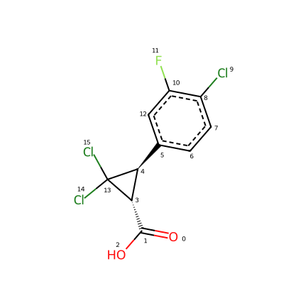 O=C(O)[C@H]1[C@H](c2ccc(Cl)c(F)c2)C1(Cl)Cl